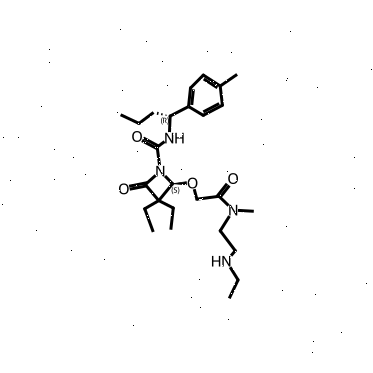 CCC[C@@H](NC(=O)N1C(=O)C(CC)(CC)[C@@H]1OCC(=O)N(C)CCNCC)c1ccc(C)cc1